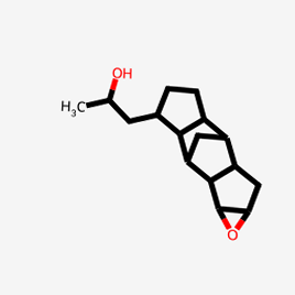 CC(O)CC1CCC2C3CC(C12)C1C3CC2OC21